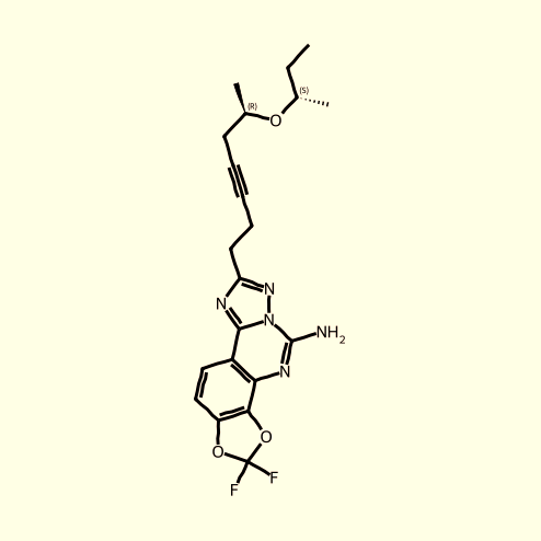 CC[C@H](C)O[C@H](C)CC#CCCc1nc2c3ccc4c(c3nc(N)n2n1)OC(F)(F)O4